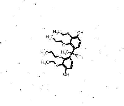 CCCOc1c(C(C)(C)c2ccc(O)c(SCC)c2OCCC)ccc(O)c1SCC